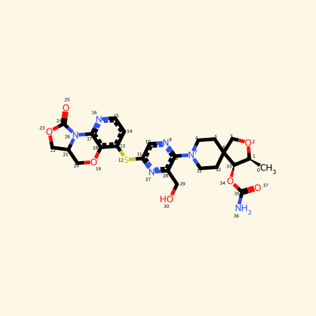 C[C@@H]1OCC2(CCN(c3ncc(Sc4ccnc5c4OCC4COC(=O)N54)nc3CO)CC2)[C@@H]1OC(N)=O